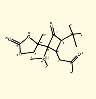 CC(=O)CC1N(C(C)(C)C)C(=O)C1([SiH](C)C)C1(C)COC(=O)O1